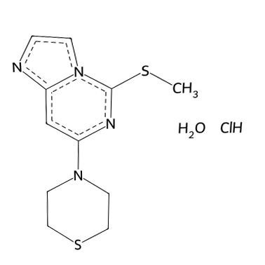 CSc1nc(N2CCSCC2)cc2nccn12.Cl.O